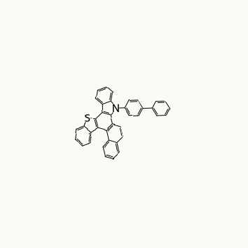 c1ccc(-c2ccc(-n3c4ccccc4c4c5sc6ccccc6c5c5c6ccccc6ccc5c43)cc2)cc1